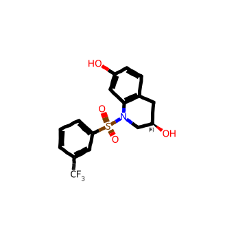 O=S(=O)(c1cccc(C(F)(F)F)c1)N1C[C@H](O)Cc2ccc(O)cc21